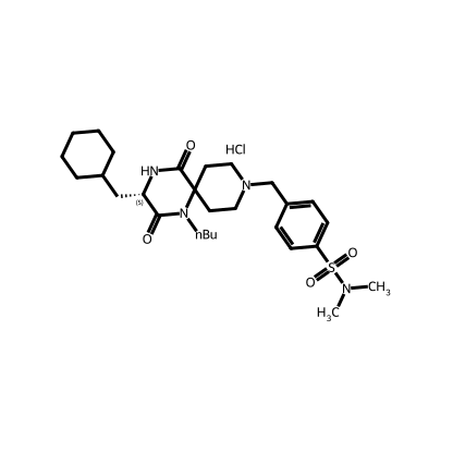 CCCCN1C(=O)[C@H](CC2CCCCC2)NC(=O)C12CCN(Cc1ccc(S(=O)(=O)N(C)C)cc1)CC2.Cl